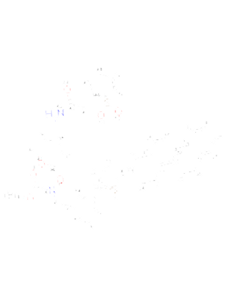 CC(C)(C)OC(=O)N(Cc1cccc(-c2ccc(C3=Cc4ccc5c(c4CC3)CCc3ccccc3-5)s2)c1)OC1CCCCO1.NC(=O)CC1C=CC=CS1(=O)=O